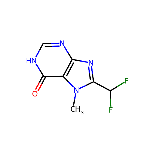 Cn1c(C(F)F)nc2nc[nH]c(=O)c21